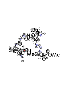 C/C=C/[C@H](O[Si](C)(C)C(C)(C)C)C(C)(C)[C@H](C\C=C/C=C\C=C\[C@@H](Cc1nc(C(=O)OC)co1)OC)OC(=O)c1coc(/C=C\C=C\[C@@H]2O[C@@H]2/C=C\C[C@H](O[Si](C)(C)C)C(C)(C)[C@H](/C=C/C)O[Si](C)(C)C(C)(C)C)n1